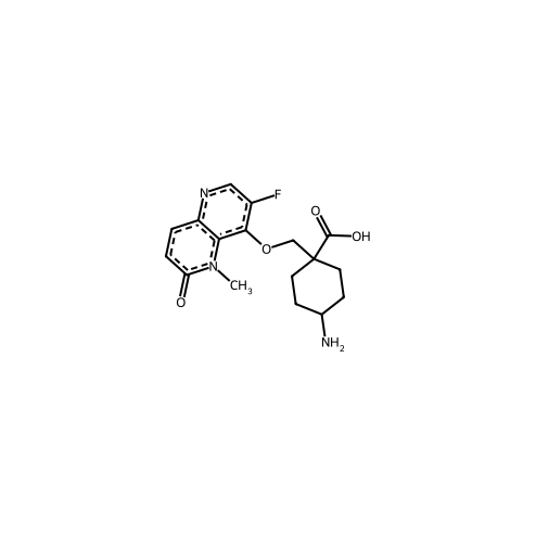 Cn1c(=O)ccc2ncc(F)c(OCC3(C(=O)O)CCC(N)CC3)c21